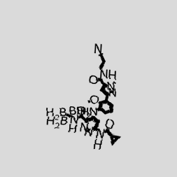 BC(B)(B)NC(=O)c1nnc(NC(=O)C2CC2)cc1Nc1cccc(-c2cc(C(=O)NCCC#N)n(C)n2)c1OC